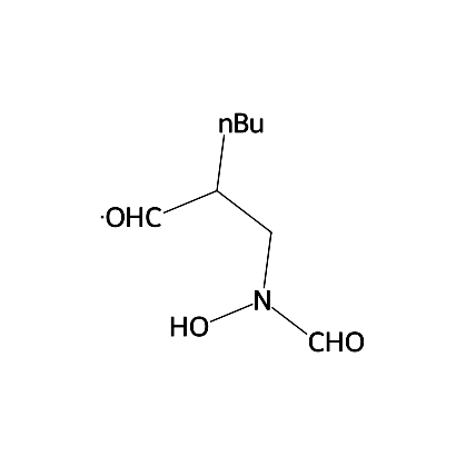 CCCCC([C]=O)CN(O)C=O